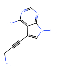 NCC#Cc1cn(N)c2ncnc(N)c12